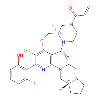 C=CC(=O)N1CCN2C(=O)c3c(N4CCN5CCC[C@@H]5C4)nc(-c4c(O)cccc4F)c(Cl)c3OC[C@H]2C1